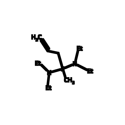 C=CCS(C)(N(CC)CC)N(CC)CC